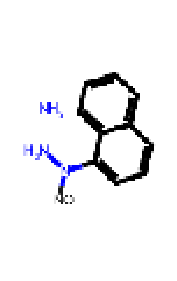 N.NN(N=O)c1cccc2ccccc12